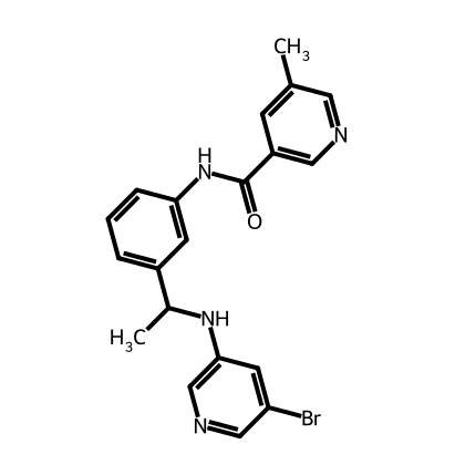 Cc1cncc(C(=O)Nc2cccc(C(C)Nc3cncc(Br)c3)c2)c1